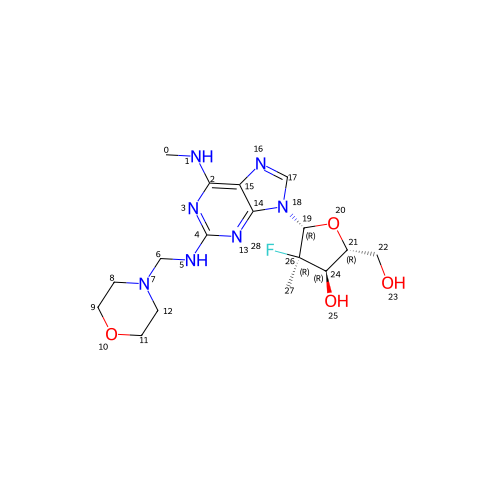 CNc1nc(NCN2CCOCC2)nc2c1ncn2[C@@H]1O[C@H](CO)[C@@H](O)[C@@]1(C)F